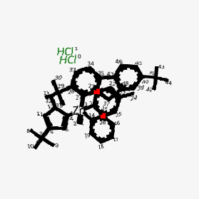 Cl.Cl.[CH2]=[Zr]([C]1=CC(C(C)(C)C)=CC1C)([c]1ccccc1)([c]1ccc(C)cc1)[c]1c(C(C)(C)C)ccc2c1Cc1cc(C(C)(C)C)ccc1-2